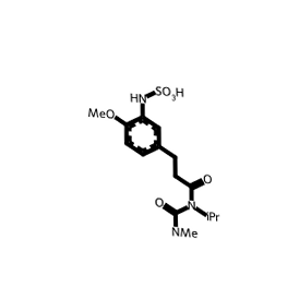 CNC(=O)N(C(=O)CCc1ccc(OC)c(NS(=O)(=O)O)c1)C(C)C